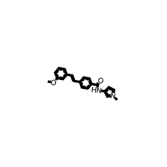 COc1cccc(C=Cc2ccc(C(=O)Nc3ccn(C)c3)cc2)c1